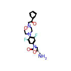 NC[C@H]1CN(c2cc(F)c(N3CCON(CC(=O)c4ccccc4)CC3)c(F)c2)C(=O)O1